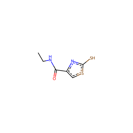 CCNC(=O)c1csc(S)n1